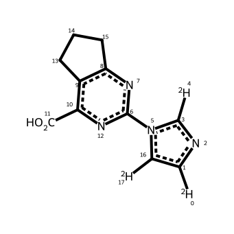 [2H]c1nc([2H])n(-c2nc3c(c(C(=O)O)n2)CCC3)c1[2H]